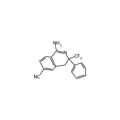 N#Cc1ccc2c(c1)CC(c1ccccc1)(C(F)(F)F)N=C2N